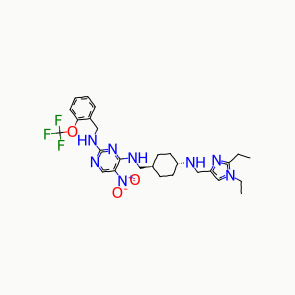 CCc1nc(CN[C@H]2CC[C@H](CNc3nc(NCc4ccccc4OC(F)(F)F)ncc3[N+](=O)[O-])CC2)cn1CC